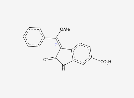 CO/C(=C1/C(=O)Nc2cc(C(=O)O)ccc21)c1ccccc1